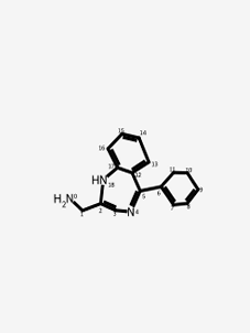 NCC1=CN=C(C2=CC=CCC2)c2ccccc2N1